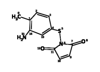 Cc1ccc(SN2C(=O)C=CC2=O)cc1N